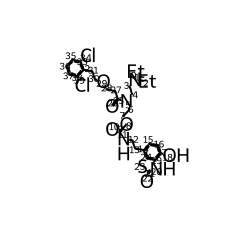 CCN(CC)CCN(CCOC(=O)NCCc1ccc(O)c2[nH]c(=O)sc12)C(=O)CCOCCc1c(Cl)cccc1Cl